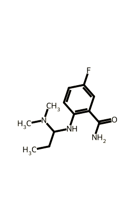 CCC(Nc1ccc(F)cc1C(N)=O)N(C)C